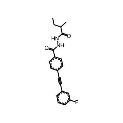 CCC(C)C(=O)NNC(=O)c1ccc(C#Cc2cccc(F)c2)cc1